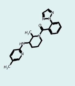 Cc1ccc(NC2CCCN(C(=O)c3ccccc3-n3nccn3)C2C)nc1